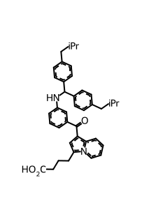 CC(C)Cc1ccc(C(Nc2cccc(C(=O)c3cc(CCCC(=O)O)n4ccccc34)c2)c2ccc(CC(C)C)cc2)cc1